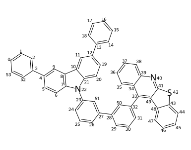 c1ccc(-c2ccc3c(c2)c2cc(-c4ccccc4)ccc2n3-c2cccc(-c3cccc(-c4c5ccccc5nc5sc6ccccc6c45)c3)c2)cc1